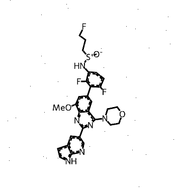 COc1cc(-c2c(F)ccc(N[S+]([O-])CCCF)c2F)cc2c(N3CCOCC3)nc(-c3cnc4[nH]ccc4c3)nc12